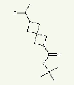 CC(=O)C1CC2(C1)CN(C(=O)OC(C)(C)C)C2